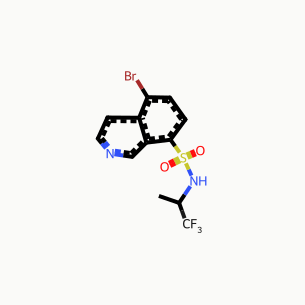 CC(NS(=O)(=O)c1ccc(Br)c2ccncc12)C(F)(F)F